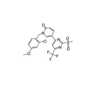 COc1ccc(Cn2cc(-c3cc(C(F)(F)F)nc(S(C)(=O)=O)n3)ccc2=O)c(Cl)c1